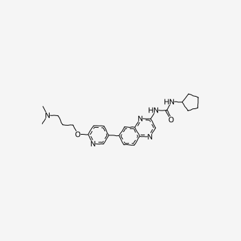 CN(C)CCCOc1ccc(-c2ccc3ncc(NC(=O)NC4CCCC4)nc3c2)cn1